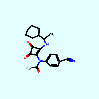 CC(=O)N(c1ccc(C#N)cc1)c1c(NC(C)C2CCCCC2)c(=O)c1=O